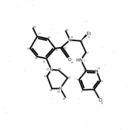 CC[C@@H](CNc1ccc(Cl)cn1)N(C)C(=O)c1cc(C)ccc1N1CCN(C)CC1